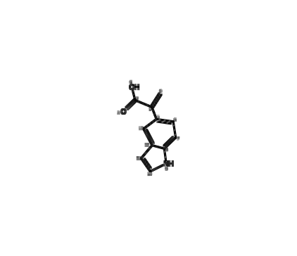 C=C(C(=O)O)c1ccc2[nH]ccc2c1